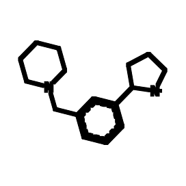 c1cc(CN2CCCCC2)cc(C2CCC[N]2)c1